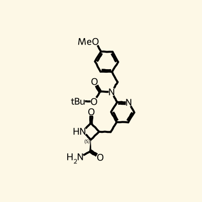 COc1ccc(CN(C(=O)OC(C)(C)C)c2cc(CC3C(=O)N[C@@H]3C(N)=O)ccn2)cc1